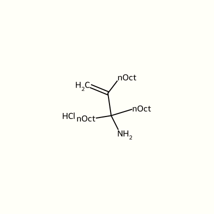 C=C(CCCCCCCC)C(N)(CCCCCCCC)CCCCCCCC.Cl